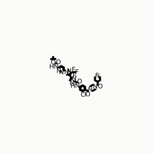 CN1CCC(C(=O)N2CCN(C(=O)c3ccc(NC(=O)c4ncc(-c5cn(-c6ccc(NC(=O)OC(C)(C)C)nn6)nc5C(F)(F)F)n4C)cc3Cl)CC2)CC1